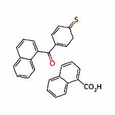 O=C(C1=CCC(=S)C=C1)c1cccc2ccccc12.O=C(O)c1cccc2ccccc12